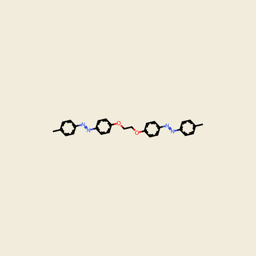 Cc1ccc(N=Nc2ccc(OCCOc3ccc(N=Nc4ccc(C)cc4)cc3)cc2)cc1